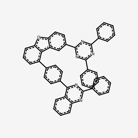 c1ccc(-c2nc(-c3ccccc3)nc(-c3ccc4oc5cccc(-c6ccc(-c7nc(-c8ccccc8)nc8ccccc78)cc6)c5c4c3)n2)cc1